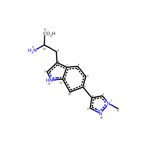 Cn1cc(-c2ccc3c(CC(N)C(=O)O)c[nH]c3c2)cn1